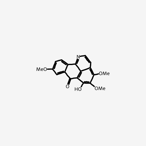 COc1ccc2c(c1)C(=O)c1c(O)c(OC)c(OC)c3ccnc-2c13